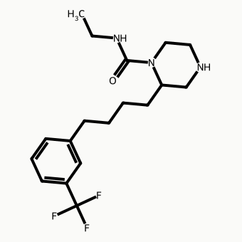 CCNC(=O)N1CCNCC1CCCCc1cccc(C(F)(F)F)c1